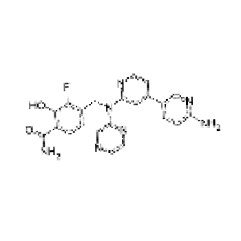 NC(=O)c1ccc(CN(c2cnccn2)c2cc(-c3ccc(N)nc3)ccn2)c(F)c1O